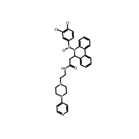 O=C(CC1c2ccccc2-c2ccccc2N1[S+]([O-])c1ccc(Cl)c(Cl)c1)NCCN1CCN(c2ccncc2)CC1